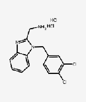 Cl.Cl.NCc1nc2ccccc2n1Cc1ccc(Cl)c(Cl)c1